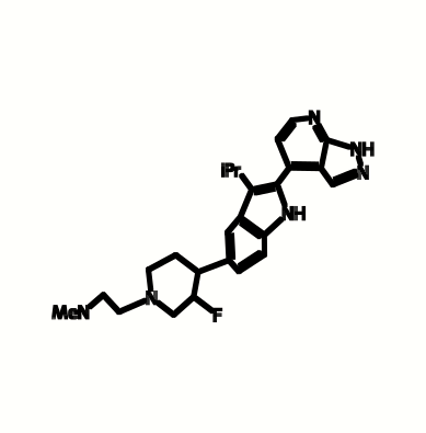 CNCCN1CCC(c2ccc3[nH]c(-c4ccnc5[nH]ncc45)c(C(C)C)c3c2)C(F)C1